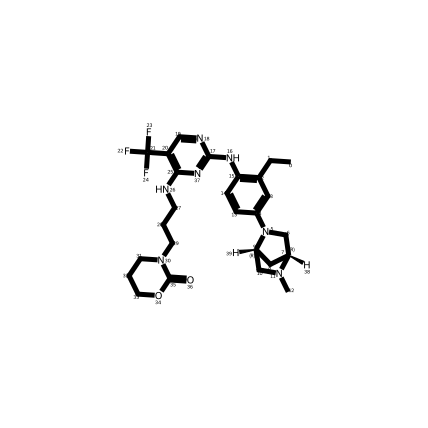 CCc1cc(N2C[C@H]3C[C@@H]2CN3C)ccc1Nc1ncc(C(F)(F)F)c(NCCCN2CCCOC2=O)n1